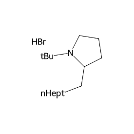 Br.CCCCCCCCC1CCCN1C(C)(C)C